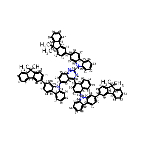 CC1(C)c2ccccc2-c2cc(-c3ccc4c5ccccc5n(-c5ccc6nc(-n7c8ccccc8c8ccc(-c9ccc%10c(c9)-c9ccccc9C%10(C)C)cc87)nc(-c7ccc(-n8c9ccccc9c9ccc(-c%10ccc%11c(c%10)-c%10ccccc%10C%11(C)C)cc98)c8ccccc78)c6c5)c4c3)ccc21